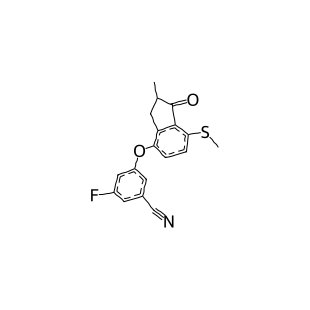 CSc1ccc(Oc2cc(F)cc(C#N)c2)c2c1C(=O)C(C)C2